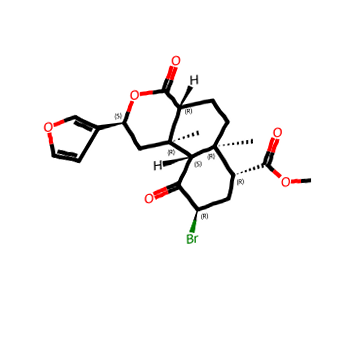 COC(=O)[C@@H]1C[C@@H](Br)C(=O)[C@H]2[C@@]1(C)CC[C@H]1C(=O)O[C@H](c3ccoc3)C[C@]21C